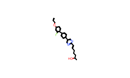 C=CCOc1ccc(-c2ccc(-c3cnc(C=CCCCC(C)O)nc3)cc2)c(F)c1